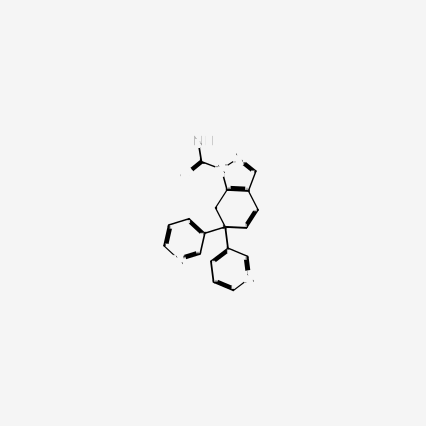 NC(=O)n1n[c]c2c1CC(c1cccnc1)(c1cccnc1)C=C2